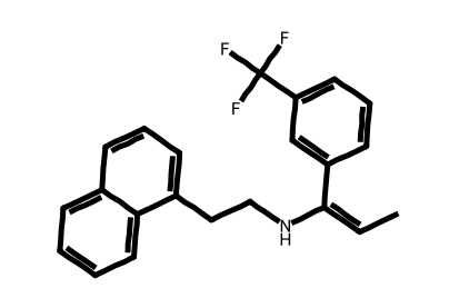 CC=C(NCCc1cccc2ccccc12)c1cccc(C(F)(F)F)c1